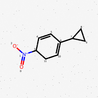 O=[N+]([O-])C1C=CC(C2CC2)=CC1